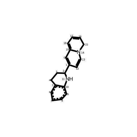 [C]1=C(C2CCc3ccccc3N2)C=CN2CC=CC=C12